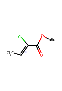 CCCCOC(=O)/C(Cl)=C/C(Cl)(Cl)Cl